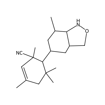 CC1=CC(C)(C#N)C(C2CC(C)C3NOCC3C2)C(C)(C)C1